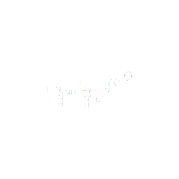 N=C(N)NCCC[C@H](NC(=O)[C@@H]1CCCN1C(=O)CNC(=O)c1ncc(-c2ccccc2)s1)C(=O)CF